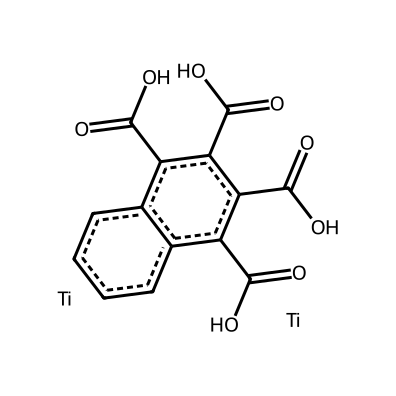 O=C(O)c1c(C(=O)O)c(C(=O)O)c2ccccc2c1C(=O)O.[Ti].[Ti]